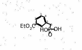 CCOC(=O)c1cccc(CP(=O)(O)O)c1